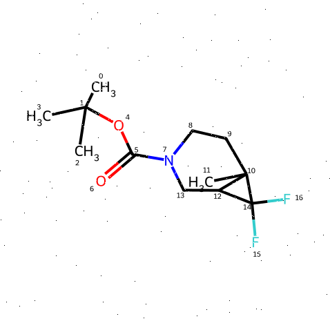 CC(C)(C)OC(=O)N1CCC2(C)C(C1)C2(F)F